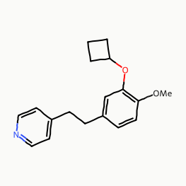 COc1ccc(CCc2ccncc2)cc1OC1CCC1